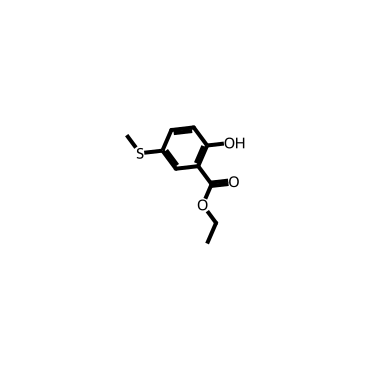 CCOC(=O)c1cc(SC)ccc1O